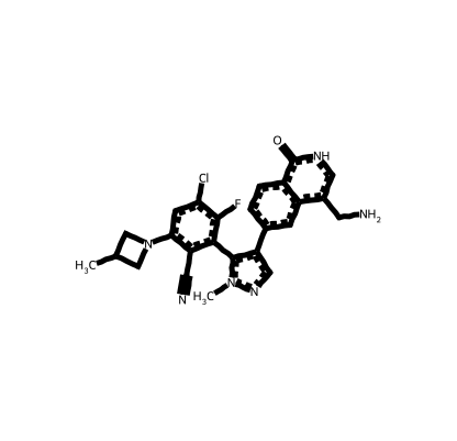 CC1CN(c2cc(Cl)c(F)c(-c3c(-c4ccc5c(=O)[nH]cc(CN)c5c4)cnn3C)c2C#N)C1